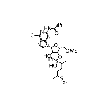 COC[C@H]1O[C@@H](n2cnc3c(Cl)nc(NC(=O)C(C)C)nc32)[C@H](O)[C@@H]1O[Si](O)(C(C)C)C(C)CCC(C)SC(C)C